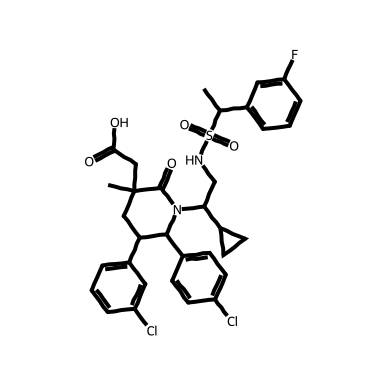 CC(c1cccc(F)c1)S(=O)(=O)NCC(C1CC1)N1C(=O)C(C)(CC(=O)O)CC(c2cccc(Cl)c2)C1c1ccc(Cl)cc1